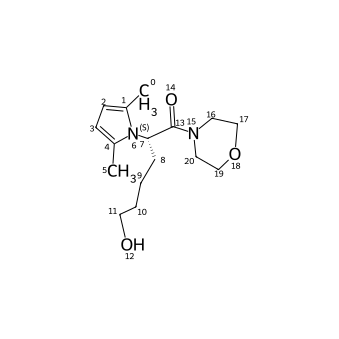 Cc1ccc(C)n1[C@@H](CCCCO)C(=O)N1CCOCC1